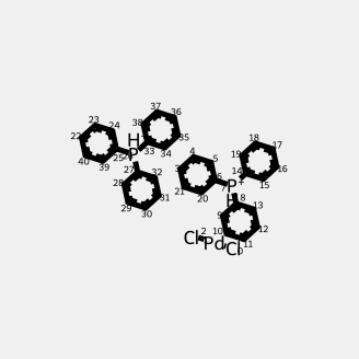 [Cl][Pd][Cl].c1ccc([PH+](c2ccccc2)c2ccccc2)cc1.c1ccc([PH+](c2ccccc2)c2ccccc2)cc1